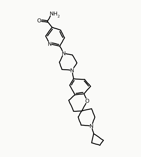 NC(=O)c1ccc(N2CCN(c3ccc4c(c3)CCC3(CCN(C5CCC5)CC3)O4)CC2)nc1